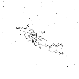 COC(=O)[C@H]1CC[C@@]2(N)[C@@H]3CC[C@@H]4C[C@@H]([C@@H]5CC[C@@H](O)[C@H](C)O5)CC[C@]4(C)[C@H]3CC[C@]12C.O